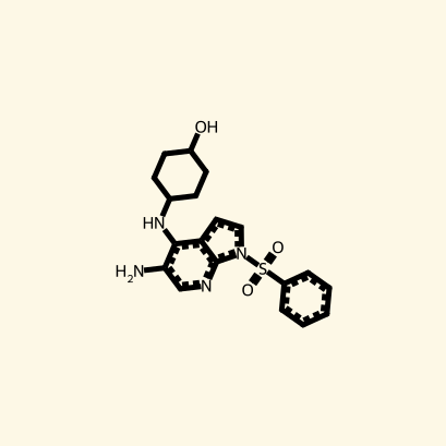 Nc1cnc2c(ccn2S(=O)(=O)c2ccccc2)c1NC1CCC(O)CC1